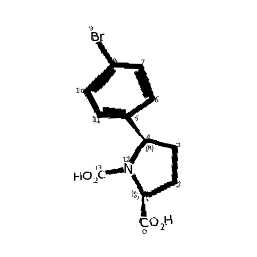 O=C(O)[C@@H]1CC[C@H](c2ccc(Br)cc2)N1C(=O)O